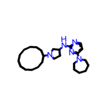 c1cc(N2CCCCCC2)nc(NC2CCN(C3CCCCCCCCCCC3)C2)n1